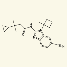 CC(C)(CC(=O)Nc1nc2ccc(C#N)cc2n1C1(C)CCC1)C1CC1